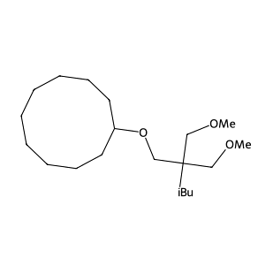 CCC(C)C(COC)(COC)COC1CCCCCCCCC1